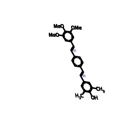 COc1cc(/C=C/c2ccc(/C=C/c3cc(C)c(O)c(C)c3)cc2)cc(OC)c1OC